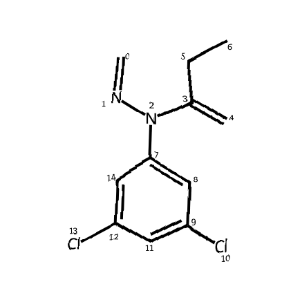 C=NN(C(=C)CC)c1cc(Cl)cc(Cl)c1